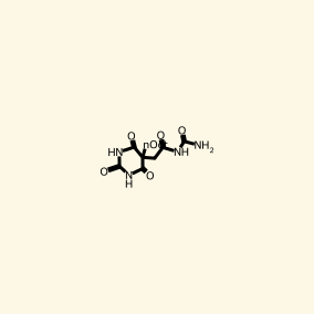 CCCCCCCCC1(CC(=O)NC(N)=O)C(=O)NC(=O)NC1=O